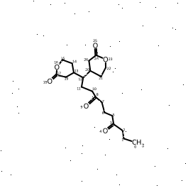 CCCC(=O)CCCC(=O)CCC(C1CCOC(=O)C1)C1CCOC(=O)C1